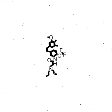 CCCN(CCC)CCC(=O)Nc1cc(/C=C\c2cc(C)c(C)c(OC)c2)ccc1OC(F)F